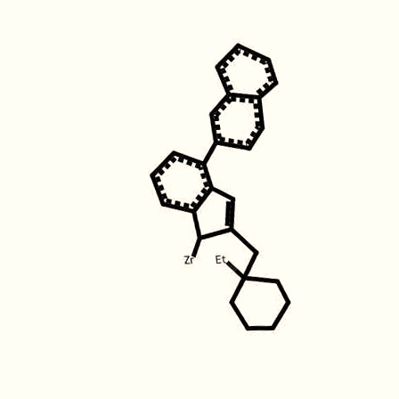 CCC1(CC2=Cc3c(-c4ccc5ccccc5c4)cccc3[CH]2[Zr])CCCCC1